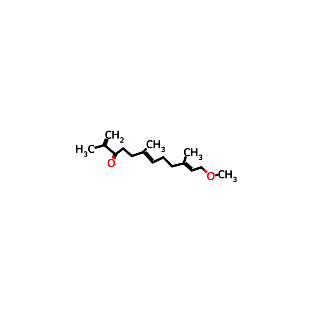 C=C(C)C(=O)CC/C(C)=C/CC/C(C)=C/COC